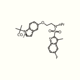 CCCN(CCOc1ccc2c(ccn2C(C)(C)C(=O)O)c1)S(=O)(=O)c1sc2ccc(F)cc2c1C